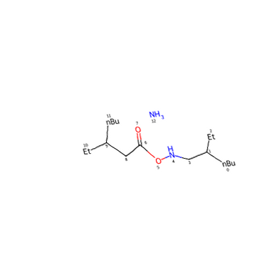 CCCCC(CC)CNOC(=O)CC(CC)CCCC.N